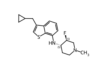 CN1CC[C@H](Nc2cccc3c(CC4CC4)csc23)[C@@H](F)C1